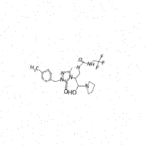 Cc1ccc(Cn2nc3n(c2=O)C(C(O)N2CCCC2)CN(C(=O)NCC(F)(F)F)C3)cc1